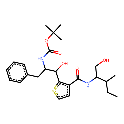 CCC(C)C(CO)NC(=O)c1ccsc1C(O)C(Cc1ccccc1)NC(=O)OC(C)(C)C